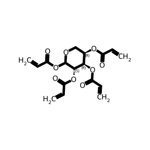 C=CC(=O)OC1OC[C@@H](OC(=O)C=C)[C@@H](OC(=O)C=C)[C@@H]1OC(=O)C=C